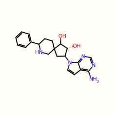 Nc1ncnc2c1ccn2C1CC2(CCC(c3ccccc3)NC2)C(O)[C@@H]1O